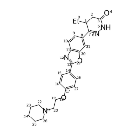 CCC1CC(=O)NN=C1c1ccc2nc(-c3ccc(OCCN4CCCCC4)cc3)oc2c1